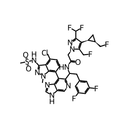 Cn1nc(NS(C)(=O)=O)c2c(Cl)ccc(-c3c(C(Cc4cc(F)cc(F)c4)NC(=O)Cn4nc(C(F)F)c([C@H]5C[C@H]5CF)c4CF)ncc4[nH]cnc34)c21